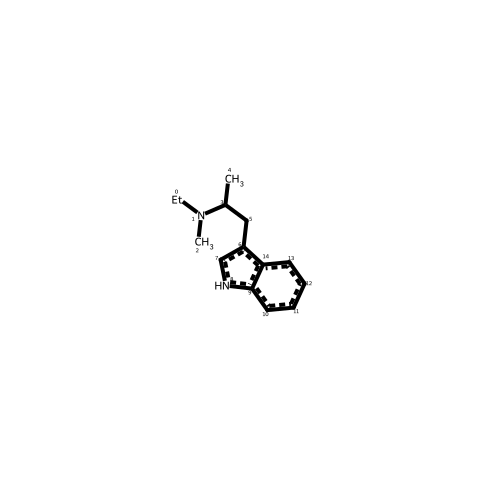 CCN(C)C(C)Cc1c[nH]c2ccccc12